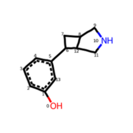 Oc1cccc(C2CC3CNCC32)c1